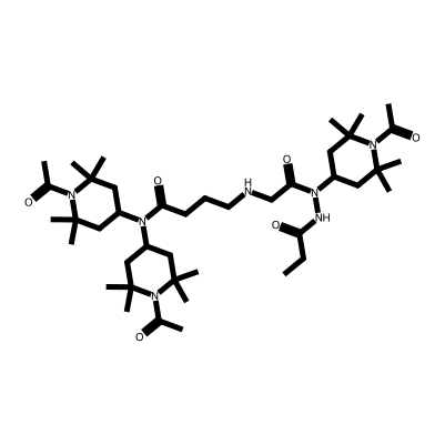 CCC(=O)NN(C(=O)CNCCCC(=O)N(C1CC(C)(C)N(C(C)=O)C(C)(C)C1)C1CC(C)(C)N(C(C)=O)C(C)(C)C1)C1CC(C)(C)N(C(C)=O)C(C)(C)C1